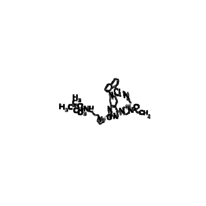 C=CC(=O)N1CCN(c2nc(OC[C@@H]3CCCN3CCCCNC(=O)OC(C)(C)C)nc3c2CCN(c2cccc4cccc(Cl)c24)C3)C[C@@H]1CC#N